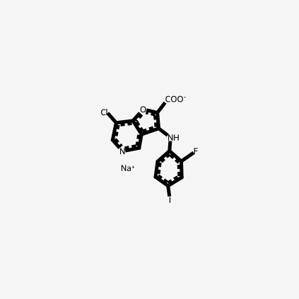 O=C([O-])c1oc2c(Cl)cncc2c1Nc1ccc(I)cc1F.[Na+]